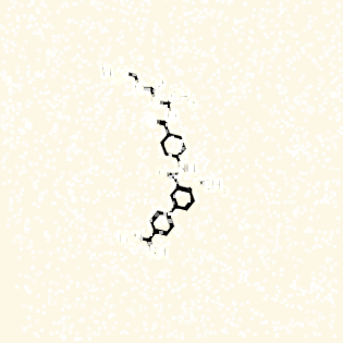 CCOC(=O)OC(C)OC(=O)C1CCC(NC(=O)c2cc(-c3ccc(C(=N)N)cc3)ccc2OC)CC1